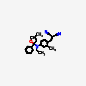 CCCC(OC)(c1ccccc1)N(CC)c1ccc(C=C(C#N)C#N)c(C)c1